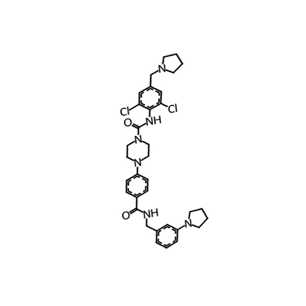 O=C(NCc1cccc(N2CCCC2)c1)c1ccc(N2CCN(C(=O)Nc3c(Cl)cc(CN4CCCC4)cc3Cl)CC2)cc1